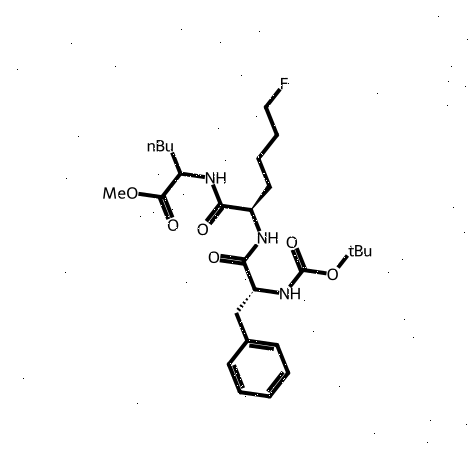 CCCCC(NC(=O)[C@@H](CCCCF)NC(=O)[C@@H](Cc1ccccc1)NC(=O)OC(C)(C)C)C(=O)OC